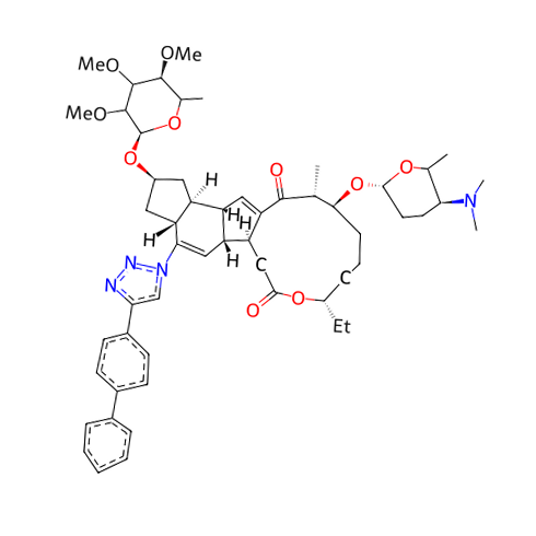 CC[C@H]1CCC[C@H](O[C@H]2CC[C@H](N(C)C)C(C)O2)[C@@H](C)C(=O)C2=C[C@@H]3[C@@H](C=C(n4cc(-c5ccc(-c6ccccc6)cc5)nn4)[C@@H]4C[C@@H](O[C@@H]5OC(C)[C@H](OC)C(OC)C5OC)C[C@@H]34)[C@@H]2CC(=O)O1